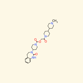 CN1CCC(C2CCN(C(=O)COC(=O)N3CCC(N4CCc5ccccc5NC4=O)CC3)CC2)CC1